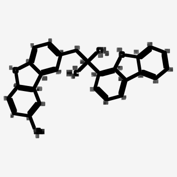 CC(C)(C)c1ccc2oc3ccc(CC(C)(C)c4cccc5c4oc4ccccc45)cc3c2c1